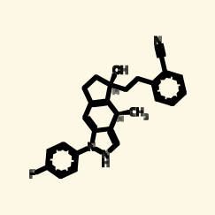 C[C@H]1C2=CNN(c3ccc(F)cc3)C2=CC2=C1[C@@](O)(CCc1ccccc1C#N)CC2